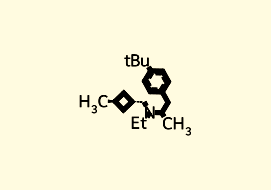 CCN(C[C@H]1C[C@H](C)C1)C(C)Cc1ccc(C(C)(C)C)cc1